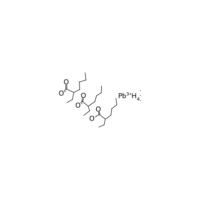 CCCCC(CC)C(=O)[O-].CCCCC(CC)C(=O)[O-].CCCCC(CC)C(=O)[O-].[PbH4+3]